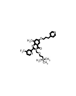 Cc1cc(OCCCc2ccncc2)cc2c(=O)n(COCCS(C)(C)C)c(-c3cc(C(F)(F)F)ccn3)nc12